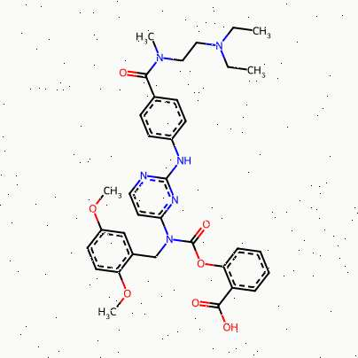 CCN(CC)CCN(C)C(=O)c1ccc(Nc2nccc(N(Cc3cc(OC)ccc3OC)C(=O)Oc3ccccc3C(=O)O)n2)cc1